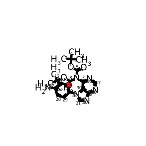 CC(C)(C)OC(=O)N(C(=O)OC(C)(C)C)c1ncnc2ncn(-c3ccc(N)cc3)c12